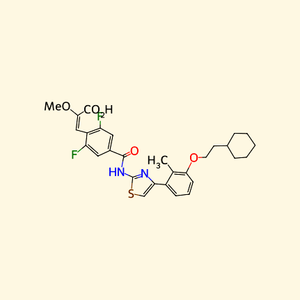 CO/C(=C/c1c(F)cc(C(=O)Nc2nc(-c3cccc(OCCC4CCCCC4)c3C)cs2)cc1F)C(=O)O